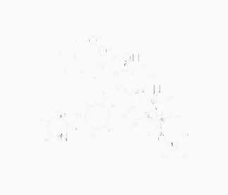 CC1(C)COOC2(CCC3=C4[C@@H](CC[C@@]3(O)C2)[C@@H]2CC=C(O[Si](C)(C)C)[C@@]2(C)C[C@@H]4c2ccc(-c3nccs3)cc2)C1